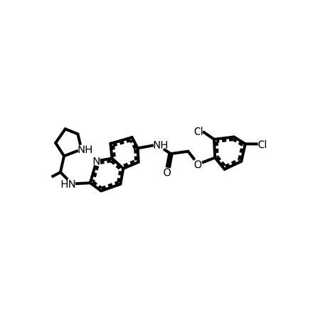 CC(Nc1ccc2cc(NC(=O)COc3ccc(Cl)cc3Cl)ccc2n1)C1CCCN1